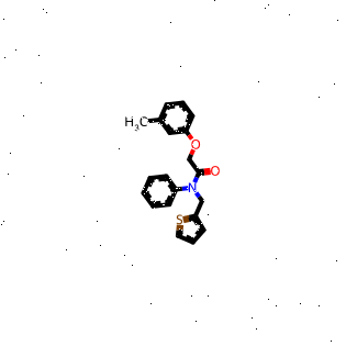 Cc1cccc(OCC(=O)N(Cc2cccs2)c2ccccc2)c1